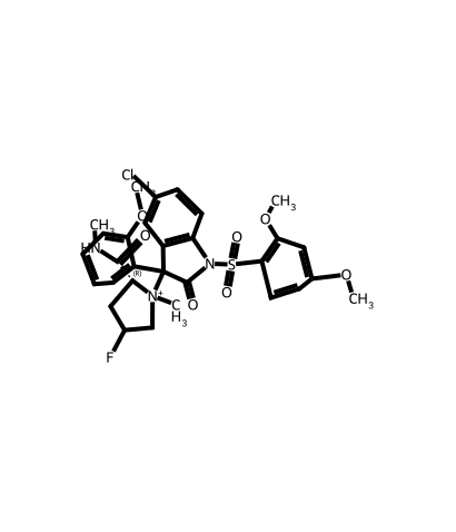 CNC(=O)[C@H]1CC(F)C[N+]1(C)C1(c2ccccc2OC)C(=O)N(S(=O)(=O)c2ccc(OC)cc2OC)c2ccc(Cl)cc21